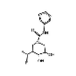 O=C(Nc1ccccc1)N1CC(C(F)F)[C@@H](O)[C@H](O)C1